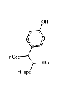 CCCCCCCCC(c1ccc(O)cc1)C(CCCCCCC)C(C)(C)C